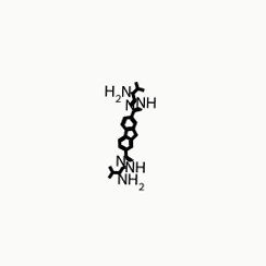 CC(C)[C@H](N)c1nc(-c2ccc3c(c2)Cc2cc(-c4c[nH]c([C@@H](N)C(C)C)n4)ccc2-3)c[nH]1